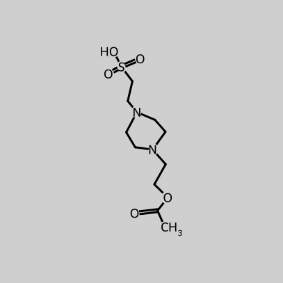 CC(=O)OCCN1CCN(CCS(=O)(=O)O)CC1